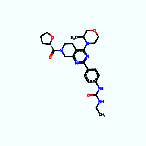 CCNC(=O)Nc1ccc(-c2nc3c(c(N4CCOCC4C)n2)CCN(C(=O)[C@@H]2CCCO2)C3)cc1